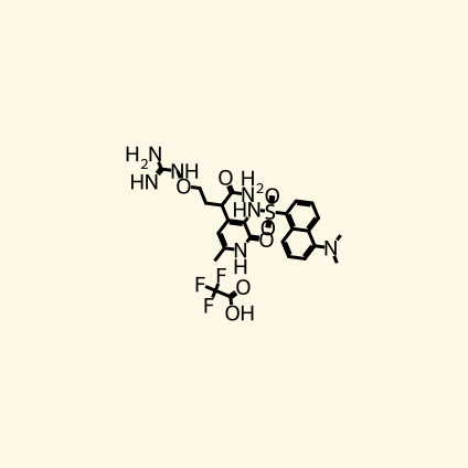 Cc1cc(C(CCONC(=N)N)C(N)=O)c(NS(=O)(=O)c2cccc3c(N(C)C)cccc23)c(=O)[nH]1.O=C(O)C(F)(F)F